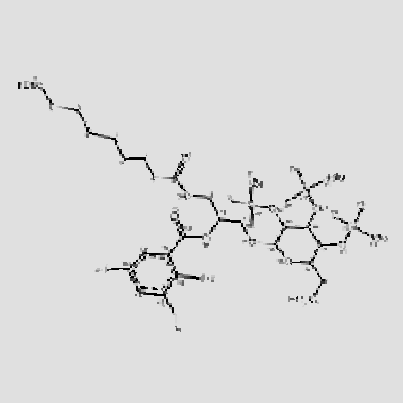 CCCCCCCCCCCCCCCCCC(=O)OCC(COC1OC(CS(=O)(=O)O)C(O[Si](C)(C)C(C)(C)C)C(O[Si](C)(C)C(C)(C)C)C1O[Si](C)(C)C(C)(C)C)OC(=O)c1cc(I)cc(I)c1I